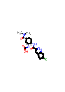 CN(C)C(=O)[C@H]1CC[C@H](NC(=O)c2cc3ccc(Cl)cc3nn2)[C@H](NC(=O)O)C1